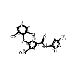 O=C(Nc1cc(C(F)(F)F)n[nH]1)c1cc([N+](=O)[O-])c(Sc2c(Cl)cncc2Cl)s1